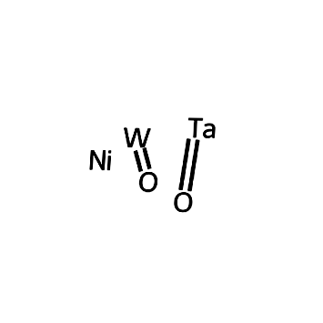 [Ni].[O]=[Ta].[O]=[W]